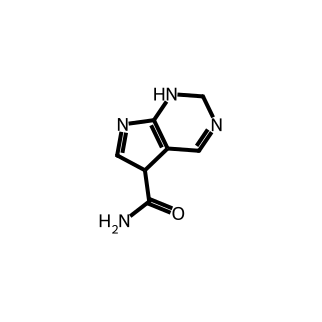 NC(=O)C1C=NC2=C1C=NCN2